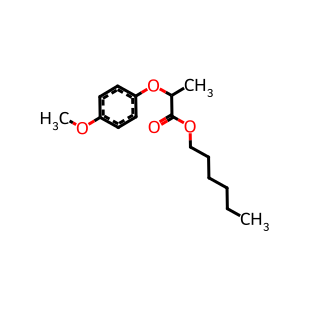 CCCCCCOC(=O)C(C)Oc1ccc(OC)cc1